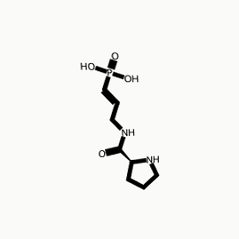 O=C(NCC=CP(=O)(O)O)[C@@H]1CCCN1